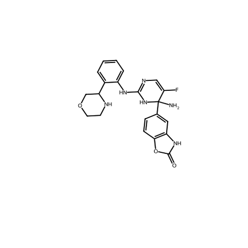 NC1(c2ccc3oc(=O)[nH]c3c2)NC(Nc2ccccc2C2COCCN2)=NC=C1F